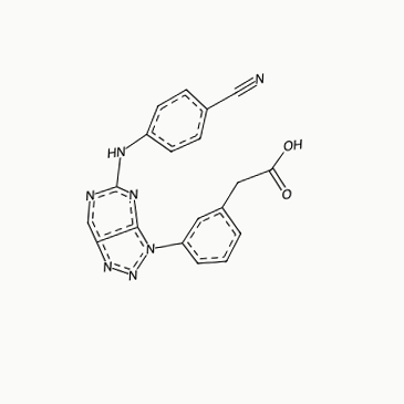 N#Cc1ccc(Nc2ncc3nnn(-c4cccc(CC(=O)O)c4)c3n2)cc1